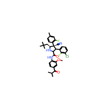 COc1cc(C(=O)C(C)C)ccc1NC(=O)C1N[C@@H](CC(C)(C)C)[C@](C#N)(c2ccc(C)cc2F)C1c1cccc(Cl)c1F